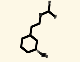 N[C@@H]1CCCN(CCOC(F)F)C1